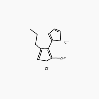 CCCC1=CC[C]([Zr+2])=C1C1=CC=CC1.[Cl-].[Cl-]